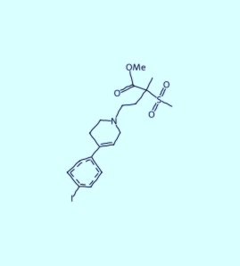 COC(=O)C(C)(CCN1CC=C(c2ccc(I)cc2)CC1)S(C)(=O)=O